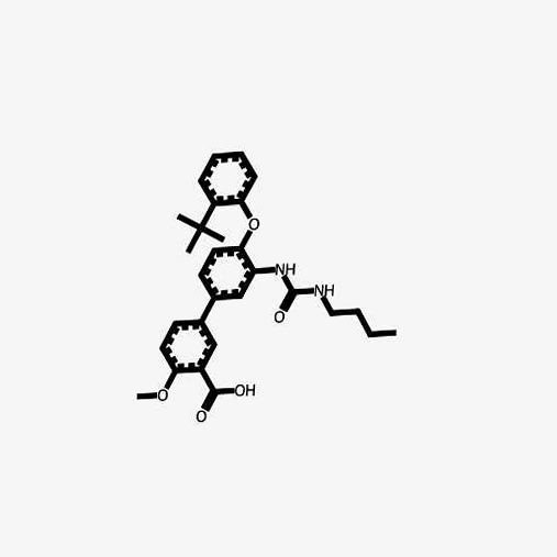 CCCCNC(=O)Nc1cc(-c2ccc(OC)c(C(=O)O)c2)ccc1Oc1ccccc1C(C)(C)C